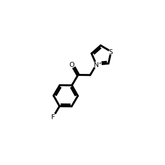 O=C(C[n+]1ccsc1)c1ccc(F)cc1